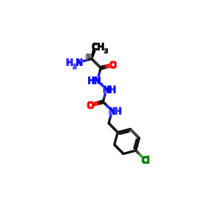 C[C@H](N)C(=O)NNC(=O)NCC1=CC=C(Cl)CC1